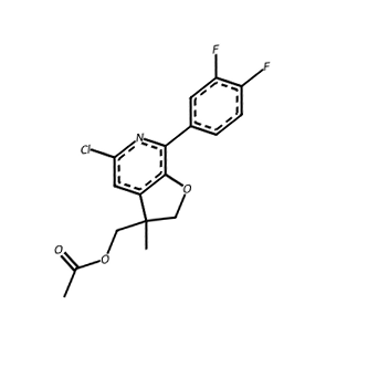 CC(=O)OCC1(C)COc2c1cc(Cl)nc2-c1ccc(F)c(F)c1